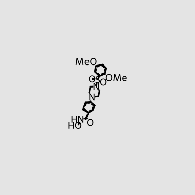 COc1ccc(OC)c(S(=O)(=O)N2CCN(c3ccc(C(=O)NO)cc3)CC2)c1